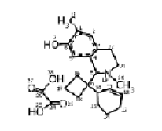 Cc1cc2c(cc1O)C(C1(C3C=CCCC3)CCC1)N(C)CC2.O=C(O)C(=O)O